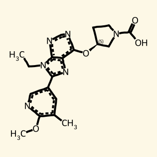 CCn1c(-c2cnc(OC)c(C)c2)nc2c(O[C@H]3CCN(C(=O)O)C3)ncnc21